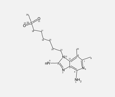 CCCc1nc2c(N)nc(C)c(C)c2n1CCCCCCS(C)(=O)=O